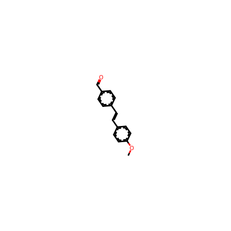 COc1ccc(/C=C/c2ccc(C=O)cc2)cc1